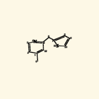 Cc1ccnc(Cc2cccs2)c1